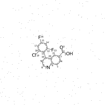 O=C(O)c1ccc2nccc(-c3c(F)cc(F)cc3Cl)c2c1